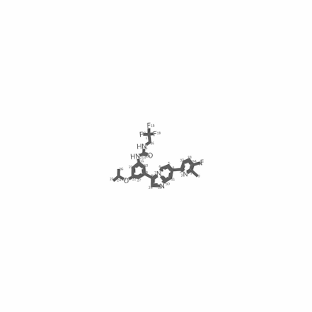 Cc1nc(-c2ccn3c(-c4cc(NC(=O)NCC(F)(F)F)cc(OC(C)C)c4)cnc3c2)ccc1F